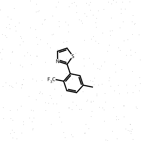 Cc1ccc(C(F)(F)F)c(-c2nccs2)c1